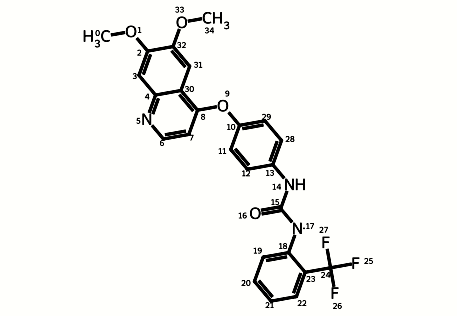 COc1cc2nccc(Oc3ccc(NC(=O)[N]c4ccccc4C(F)(F)F)cc3)c2cc1OC